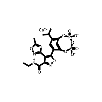 CCNC(=O)c1noc(-c2cc(C(C)C)c3cc2OP(=O)([O-])OP(=O)([O-])O3)c1-c1noc(C)n1.[Ca+2]